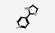 c1cc(C2NCCS2)ccn1